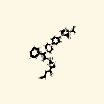 CCCC(=O)c1csc(NC(=O)C(c2ccccc2)N2CCN(c3ccc(-n4cnn(C(C)C)c4=O)cc3)CC2)n1